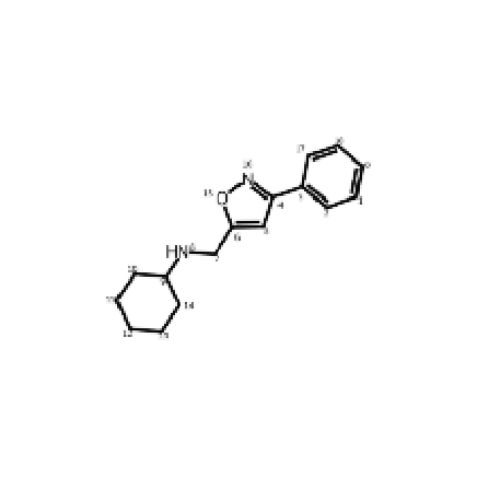 c1ccc(-c2cc(CNC3CCCCC3)on2)cc1